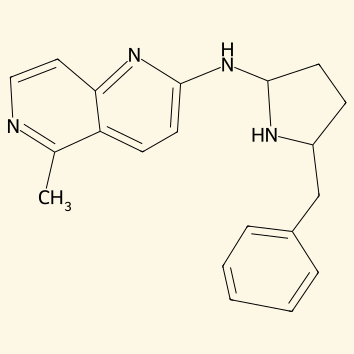 Cc1nccc2nc(NC3CCC(Cc4ccccc4)N3)ccc12